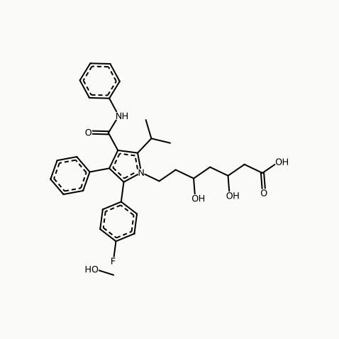 CC(C)c1c(C(=O)Nc2ccccc2)c(-c2ccccc2)c(-c2ccc(F)cc2)n1CCC(O)CC(O)CC(=O)O.CO